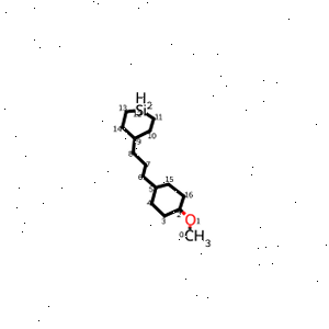 COC1CCC(CCCC2CC[SiH2]CC2)CC1